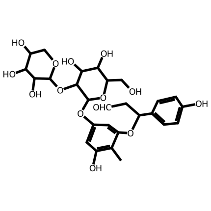 Cc1c(O)cc(OC2OC(CO)C(O)C(O)C2OC2OCC(O)C(O)C2O)cc1OC(CC=O)c1ccc(O)cc1